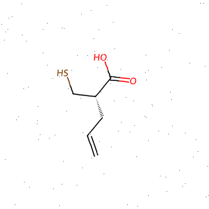 C=CC[C@H](CS)C(=O)O